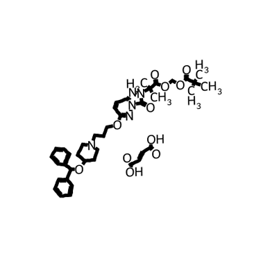 CC(C)(C)C(=O)OCOC(=O)C(C)(C)n1nc2ccc(OCCCN3CCC(OC(c4ccccc4)c4ccccc4)CC3)nn2c1=O.O=C(O)C=CC(=O)O